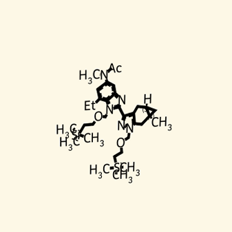 CCc1cc(N(C)C(C)=O)cc2nc(-c3nn(COCC[Si](C)(C)C)c4c3C[C@@H]3C[C@]3(C)C4)n(COCC[Si](C)(C)C)c12